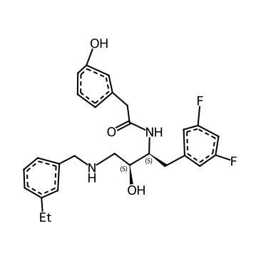 CCc1cccc(CNC[C@H](O)[C@H](Cc2cc(F)cc(F)c2)NC(=O)Cc2cccc(O)c2)c1